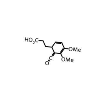 COC1=C(OC)C(=C=O)C(CCC(=O)O)C=C1